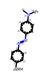 CNc1ccc(/N=N/c2ccc(N(C)C(C)C)cc2)cc1